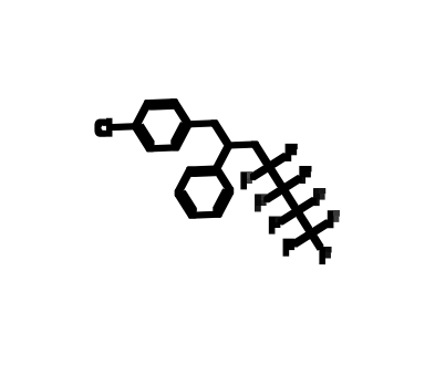 FC(F)(F)C(F)(F)C(F)(F)C(F)(F)CC(Cc1ccc(Cl)cc1)c1ccccc1